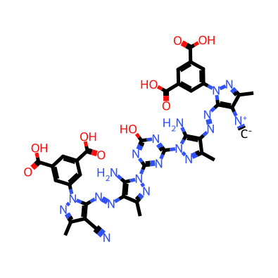 [C-]#[N+]c1c(C)nn(-c2cc(C(=O)O)cc(C(=O)O)c2)c1N=Nc1c(C)nn(-c2nc(O)nc(-n3nc(C)c(N=Nc4c(C#N)c(C)nn4-c4cc(C(=O)O)cc(C(=O)O)c4)c3N)n2)c1N